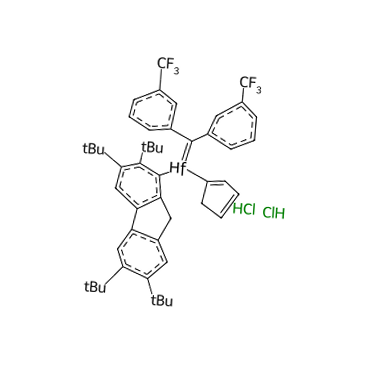 CC(C)(C)c1cc2c(cc1C(C)(C)C)-c1cc(C(C)(C)C)c(C(C)(C)C)[c]([Hf]([C]3=CC=CC3)=[C](c3cccc(C(F)(F)F)c3)c3cccc(C(F)(F)F)c3)c1C2.Cl.Cl